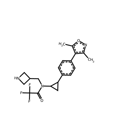 Cc1noc(C)c1-c1ccc(C2CC2N(CC2CNC2)C(=O)C(F)(F)F)cc1